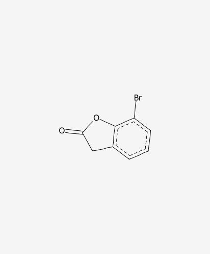 O=C1Cc2cccc(Br)c2O1